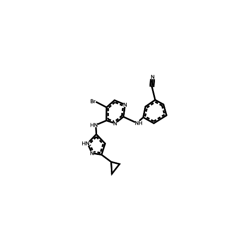 N#Cc1cccc(Nc2ncc(Br)c(Nc3cc(C4CC4)n[nH]3)n2)c1